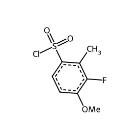 COc1ccc(S(=O)(=O)Cl)c(C)c1F